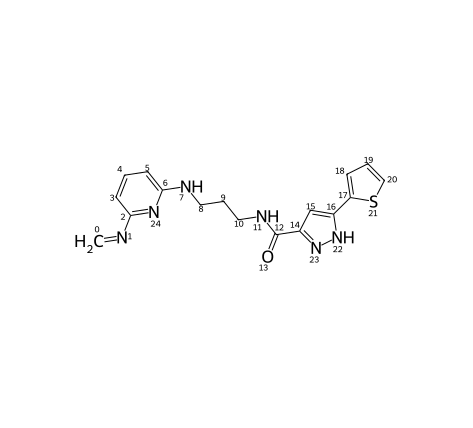 C=Nc1cccc(NCCCNC(=O)c2cc(-c3cccs3)[nH]n2)n1